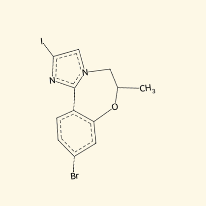 CC1Cn2cc(I)nc2-c2ccc(Br)cc2O1